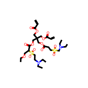 C=CC(=O)OCC(COC(=O)C=C)(COC(=O)CCS(=O)(=O)CN(CC)CC)COC(=O)C(COCC)S(=O)(=O)CCN(CC)CC